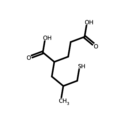 CC(CS)CC(CCC(=O)O)C(=O)O